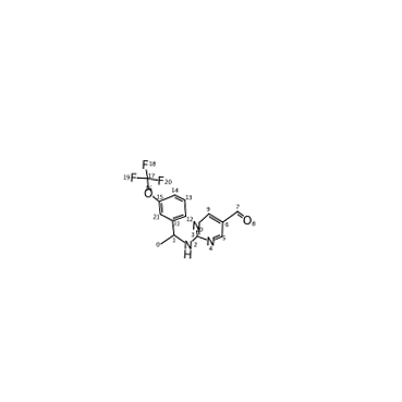 CC(Nc1ncc(C=O)cn1)c1cccc(OC(F)(F)F)c1